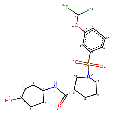 O=C(NC1CCC(O)CC1)[C@H]1CCCN(S(=O)(=O)c2cccc(OC(F)F)c2)C1